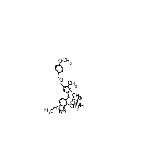 CCn1nnc2c(C)c([C@H](c3cc(COCc4ccc(OC)cc4)c(C)s3)C(C)(C)C(=O)O)ccc21